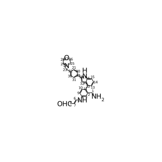 NCc1cc(NC=CC=O)ccc1-c1cccc2[nH]c(-c3ccc(CN4CCOCC4)cc3)cc12